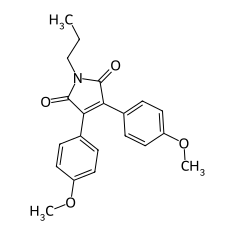 CCCN1C(=O)C(c2ccc(OC)cc2)=C(c2ccc(OC)cc2)C1=O